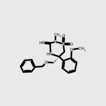 COc1ccccc1[C@]1(COCc2ccccc2)CS(=O)(=O)N(C)C(=N)N1